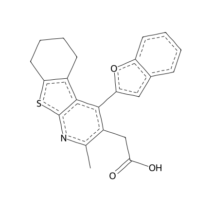 Cc1nc2sc3c(c2c(-c2cc4ccccc4o2)c1CC(=O)O)CCCC3